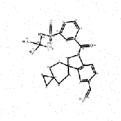 C=Cc1ccc2c(c1)C1(CCC3(CC3)CC1)CN2C(=O)c1cccc(S(=O)(=O)NC(C)(C)C)c1